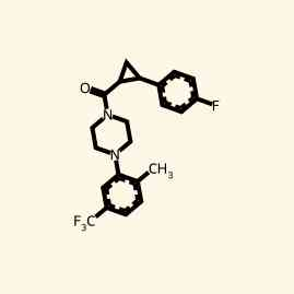 Cc1ccc(C(F)(F)F)cc1N1CCN(C(=O)C2CC2c2ccc(F)cc2)CC1